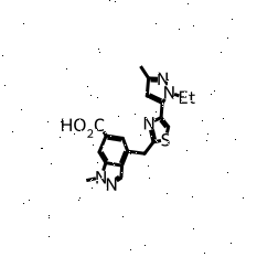 CCn1nc(C)cc1-c1csc(Cc2cc(C(=O)O)cc3c2cnn3C)n1